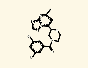 Cc1cc(C2CN(C(=O)c3cc(Cl)cc(Br)c3)CCO2)n2ncnc2n1